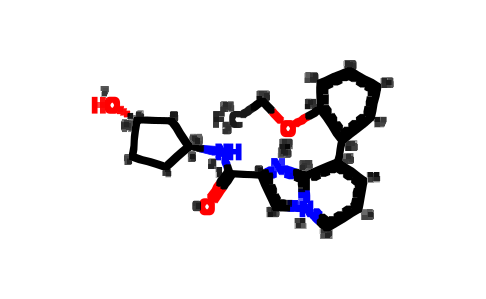 O=C(N[C@H]1CC[C@H](O)C1)c1cn2cccc(-c3ccccc3OCC(F)(F)F)c2n1